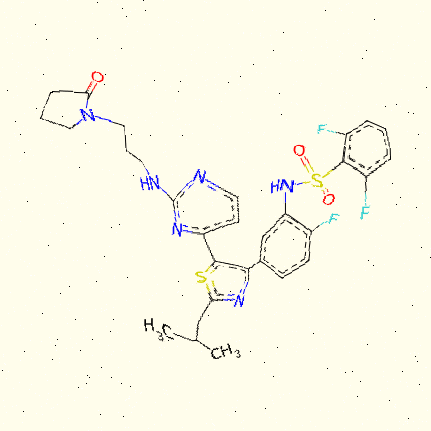 CC(C)c1nc(-c2ccc(F)c(NS(=O)(=O)c3c(F)cccc3F)c2)c(-c2ccnc(NCCCN3CCCC3=O)n2)s1